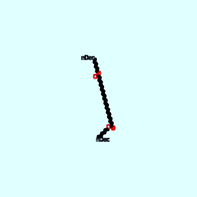 CCCCCCCCCCCCCCCCOC(=O)CCCCCCCCCCCCCCCCCCCCCC(=O)OCCCCCCCCCCCCCCCC